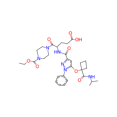 CCOC(=O)N1CCN(C(=O)C(CCC(=O)O)NC(=O)c2cc(OC3(C(=O)NC(C)C)CCC3)n(-c3ccccc3)n2)CC1